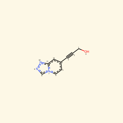 OCC#Cc1ccn2cnnc2c1